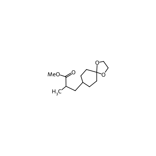 COC(=O)C(C)CC1CCC2(CC1)OCCO2